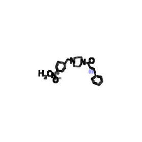 C=[N+]([O-])c1ccc(CN2CCN(C(=O)/C=C/c3ccccc3)CC2)cc1